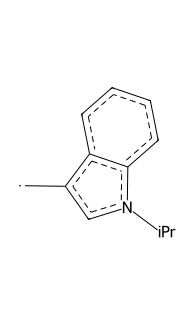 [CH2]c1cn(C(C)C)c2ccccc12